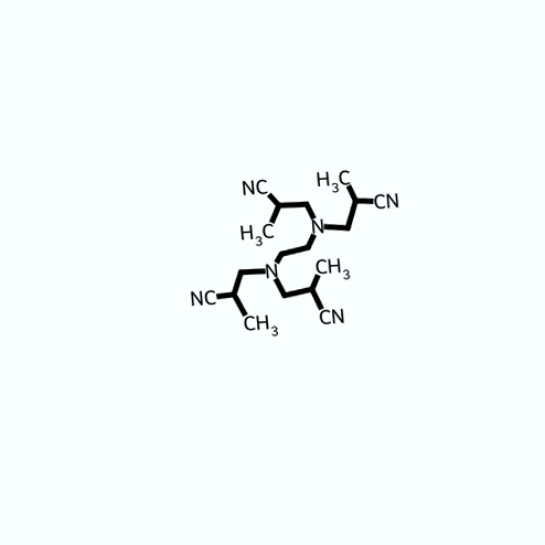 CC(C#N)CN(CCN(CC(C)C#N)CC(C)C#N)CC(C)C#N